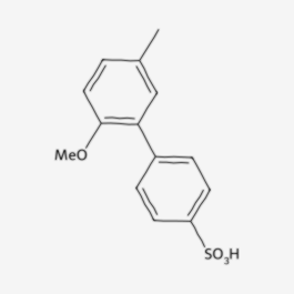 COc1ccc(C)cc1-c1ccc(S(=O)(=O)O)cc1